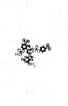 C#C[C@]1(COC(=O)Oc2ccc([N+](=O)[O-])cc2)O[C@@H](n2cnc3c(N)nc(F)nc32)C[C@H]1c1cc([N+](=O)[O-])ccc1OC(=O)O